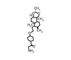 C=C1CCC2[C@]3(C)CO[C@@H](C)O[C@@H]3CC[C@@]2(C)[C@@H]1CCOC1CCN(C(=O)CN)CC1